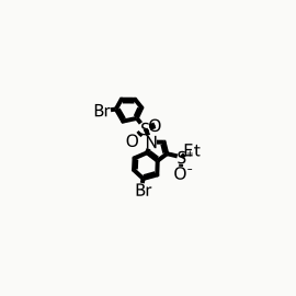 [CH2]C[S+]([O-])c1cn(S(=O)(=O)c2cccc(Br)c2)c2ccc(Br)cc12